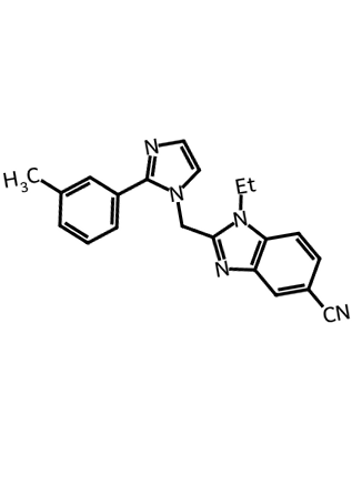 CCn1c(Cn2ccnc2-c2cccc(C)c2)nc2cc(C#N)ccc21